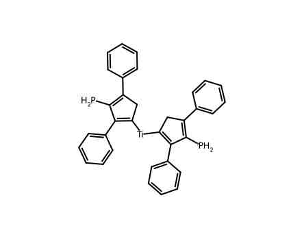 PC1=C(c2ccccc2)C[C]([Ti][C]2=C(c3ccccc3)C(P)=C(c3ccccc3)C2)=C1c1ccccc1